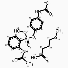 CC(=O)Nc1ccc(O[As](=O)(OO)c2ccccc2NC(C)=O)cc1.CSCCCC(=O)O